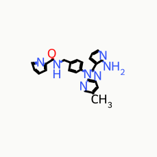 Cc1cnc2c(c1)nc(-c1cccnc1N)n2-c1ccc(CNC(=O)c2ccccn2)cc1